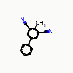 Cc1c(C#N)cc(-c2ccccc2)cc1C#N